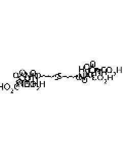 O=C(NOCCCCCCSSCCCCCCONC(=O)c1cc(C(=O)O)c2c(n1)C(=O)C(=O)c1cc(C(=O)O)[nH]c1-2)c1cc(C(=O)O)c2c(n1)C(=O)C(=O)c1cc(C(=O)O)[nH]c1-2